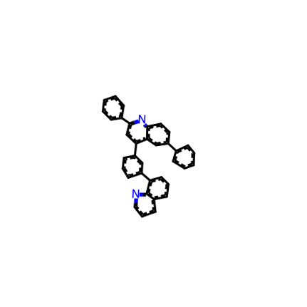 c1ccc(-c2ccc3nc(-c4ccccc4)cc(-c4cccc(-c5cccc6cccnc56)c4)c3c2)cc1